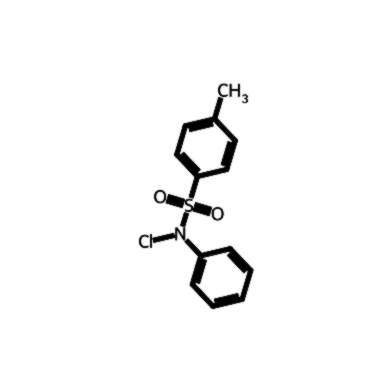 Cc1ccc(S(=O)(=O)N(Cl)c2ccccc2)cc1